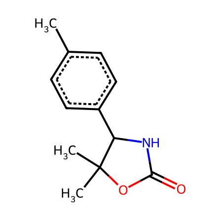 Cc1ccc(C2NC(=O)OC2(C)C)cc1